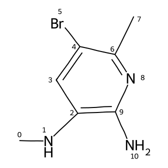 CNc1cc(Br)c(C)nc1N